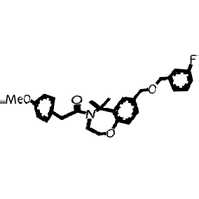 COc1ccc(CC(=O)N2CCOc3ccc(COCc4cccc(F)c4)cc3C2(C)C)cc1